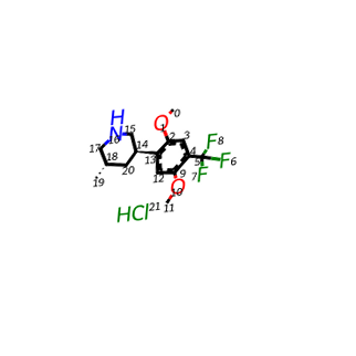 COc1cc(C(F)(F)F)c(OC)cc1[C@@H]1CNC[C@@H](C)C1.Cl